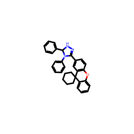 c1ccc(C2NN=C(c3ccc4c(c3)C3(CCCCC3)c3ccccc3O4)N2c2ccccc2)cc1